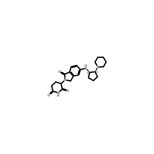 O=C1CCC(N2Cc3cc(N[C@@H]4CCC[C@@H]4N4CCCCC4)ccc3C2=O)C(=O)N1